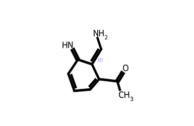 CC(=O)C1=CC=CC(=N)/C1=C\N